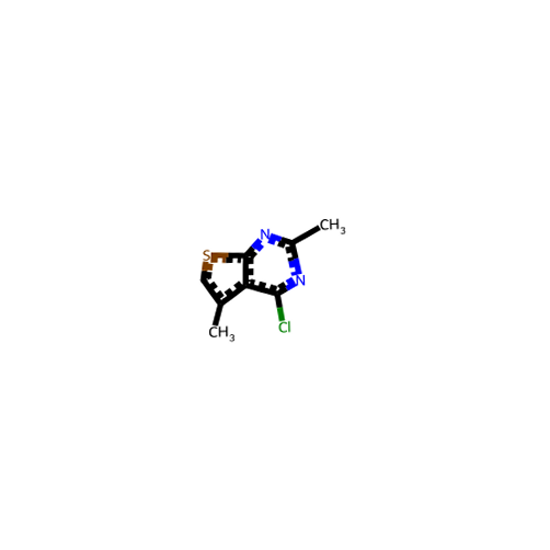 Cc1nc(Cl)c2c(C)csc2n1